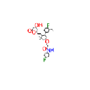 CCc1cc(C2=C(/C=C/[C@@H]3C[C@@H](O)CC(=O)O3)C(C)(C)CC(OCCC(=O)Nc3ccc(F)cc3)C2)ccc1F